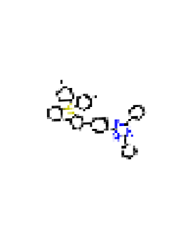 Cc1ccc(S2(c3ccc(C)cc3)c3ccccc3-c3ccc(-c4ccc(-c5nc(-c6ccccc6)nc(-c6ccccc6)n5)cc4)cc32)cc1